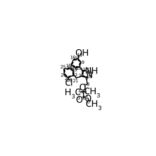 COC(=O)C(C)(C)OCc1n[nH]c(-c2cccc(O)c2)c1Cc1ccccc1Cl